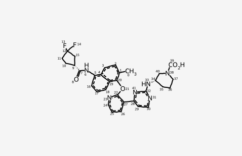 Cc1ccc2c(NC(=O)[C@@H]3CCC(F)(F)C3)cccc2c1Oc1ncccc1-c1ccnc(N[C@H]2CCCN(C(=O)O)C2)n1